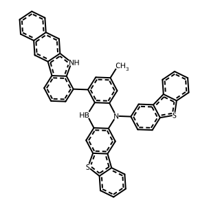 Cc1cc(-c2cccc3c2[nH]c2cc4ccccc4cc23)c2c(c1)N(c1ccc3sc4ccccc4c3c1)c1cc3c(cc1B2)sc1ccccc13